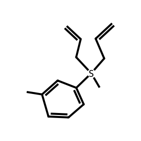 C=CCS(C)(CC=C)c1cccc(C)c1